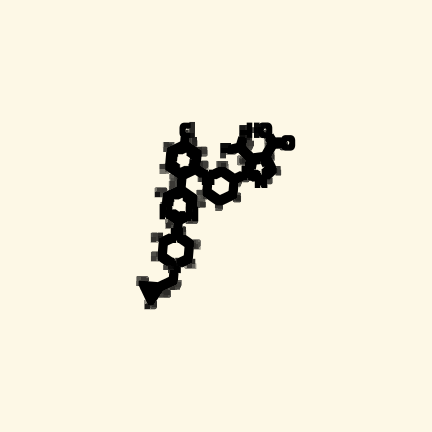 O=C(O)c1cnn(C2CCCN(c3cc(Cl)ccc3-c3cnc(N4CCN(CC5CC5)CC4)nc3)C2)c1C(F)F